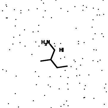 CCC(C)CN.I